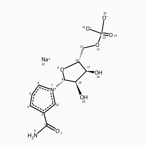 NC(=O)c1ccc[n+]([C@@H]2O[C@H](COP(=O)([O-])[O-])[C@@H](O)[C@H]2O)c1.[Na+]